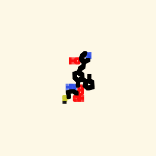 CSCCC(NC(=O)c1ccc(C=Cc2cnccc2O)cc1-c1ccccc1C)C(=O)O